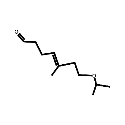 C/C(=C\CCC=O)CCOC(C)C